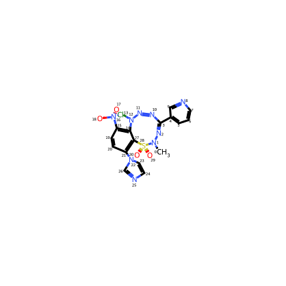 CN1/N=C(/c2cccnc2)N=NN(Cl)c2c([N+](=O)[O-])ccc(-n3ccnc3)c2S1(=O)=O